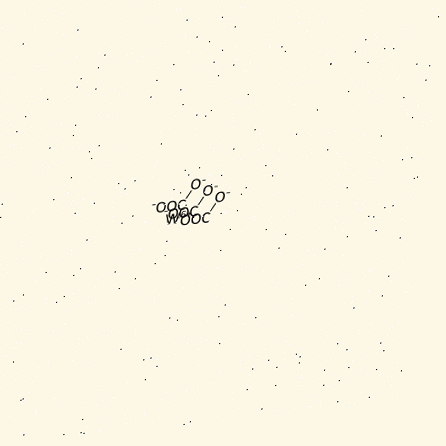 O=C([O-])[O-].O=C([O-])[O-].O=C([O-])[O-].[W+6]